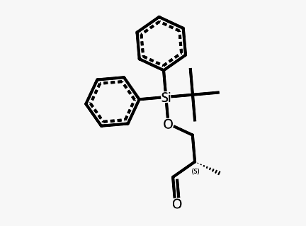 C[C@H](C=O)CO[Si](c1ccccc1)(c1ccccc1)C(C)(C)C